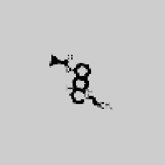 CCCN1CCC[C@@H]2CC3=C(CCC[C@H]3OC(=O)C3CC3)C[C@H]21